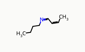 C/C=C\C=N/CCCC